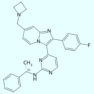 C[C@H](Nc1nccc(-c2c(-c3ccc(F)cc3)nc3cc(CN4CCC4)ccn23)n1)c1ccccc1